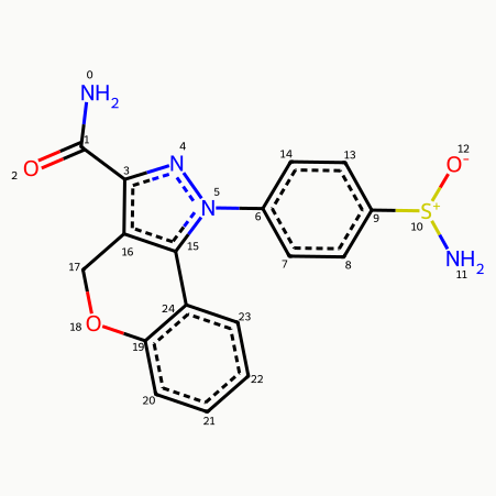 NC(=O)c1nn(-c2ccc([S+](N)[O-])cc2)c2c1COc1ccccc1-2